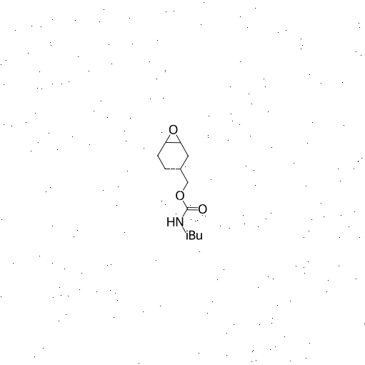 CCC(C)NC(=O)OCC1CCC2OC2C1